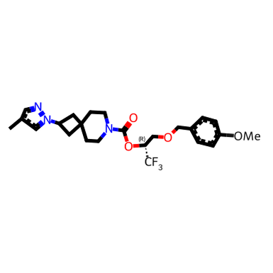 COc1ccc(COC[C@@H](OC(=O)N2CCC3(CC2)CC(n2cc(C)cn2)C3)C(F)(F)F)cc1